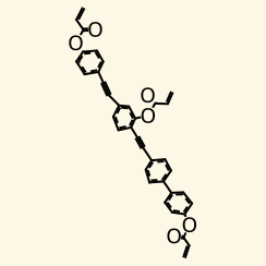 C=CC(=O)Oc1ccc(C#Cc2ccc(C#Cc3ccc(-c4ccc(OC(=O)C=C)cc4)cc3)c(OC(=O)C=C)c2)cc1